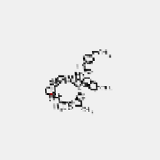 CCc1ccc(NC(=O)N[C@@H](Cc2cccc(C)c2)C(=O)N[C@@H]2C(=O)N3CCC[C@H]3C(=O)N3CCCC[C@H]3C(=O)N[C@@H](C)C(=O)N3C[C@H](C)C[C@H]3C(=O)O[C@H]2C)cc1